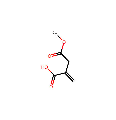 [2H]OC(=O)CC(=C)C(=O)O